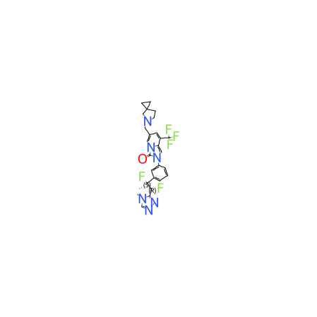 Cn1cnnc1[C@@H](F)[C@@](C)(F)c1cccc(-n2cc3c(C(F)(F)F)cc(CN4CCC5(CC5)C4)cn3c2=O)c1